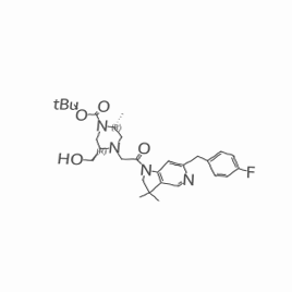 C[C@@H]1CN(CC(=O)N2CC(C)(C)c3cnc(Cc4ccc(F)cc4)cc32)[C@@H](CO)CN1C(=O)OC(C)(C)C